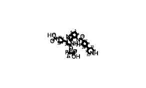 O=C(Nc1cccc2nn3c(C4CCN(C(=O)O)CC4)cc(=O)[nH]c3c12)c1ccc(C2CCNCC2)cc1.O=C(O)C(F)(F)F